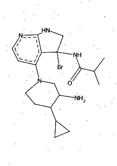 CC(C)C(=O)NC1(Br)CNc2nccc(N3CCC(C4CC4)C(N)C3)c21